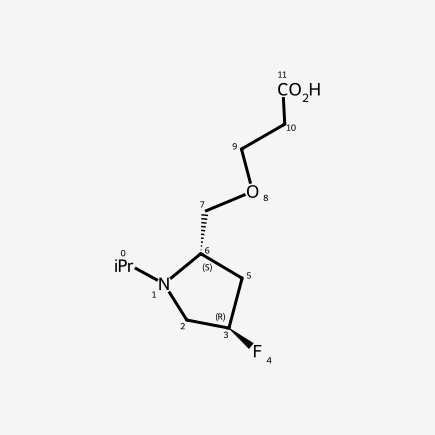 CC(C)N1C[C@H](F)C[C@H]1COCCC(=O)O